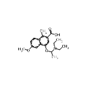 CCN(CC)C(C)Oc1cc(C(=O)O)c(C)c2ccc(OC)cc12